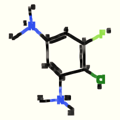 CN(C)c1cc(F)c(Cl)c(N(C)C)c1